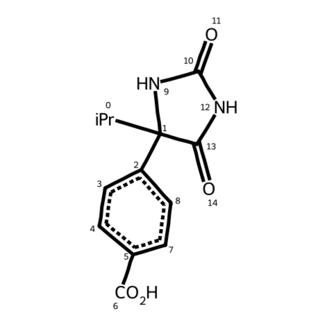 CC(C)C1(c2ccc(C(=O)O)cc2)NC(=O)NC1=O